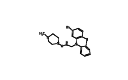 CN1CCN(ONCN2c3ccccc3Sc3ccc(Br)cc32)CC1